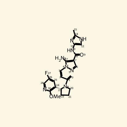 C=C(/C=C\n1ncc(C(=O)Nc2c[nH]c(C)n2)c1N)N1CCC[C@@H]1c1cc(F)cnc1OC